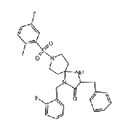 Cc1ccc(F)cc1S(=O)(=O)N1CCC2(CC1)NC(Cc1ccccc1)C(=O)N2Cc1ccccc1F